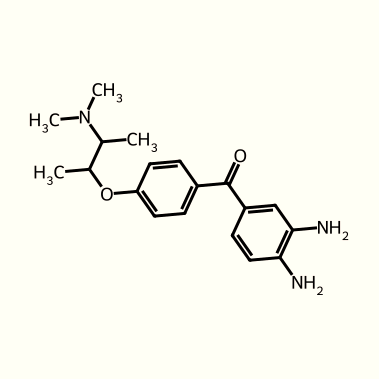 CC(Oc1ccc(C(=O)c2ccc(N)c(N)c2)cc1)C(C)N(C)C